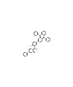 C=CC(/C=C\C(=C/CC)c1ccccc1)=C(\C=N)c1cc(-c2ccc3c(-c4ccccc4)c4ccccc4c(-c4ccccc4)c3c2)ccc1N